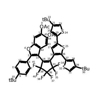 CC(=O)Oc1cc2oc(-c3ccc(C(C)(C)C)cc3)c(C3=C(c4cc(-c5cc(C(C)(C)C)cs5)sc4-c4cc(C(C)(C)C)cs4)C(F)(F)C(F)(F)C3(F)F)c2cc1OC(C)=O